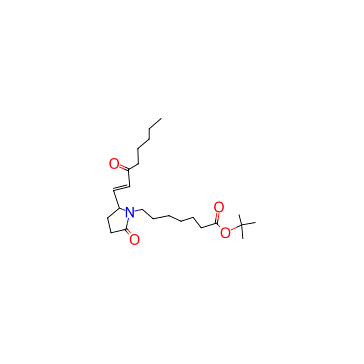 CCCCCC(=O)C=CC1CCC(=O)N1CCCCCCC(=O)OC(C)(C)C